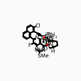 CSc1nc2c3c(nc(-c4cccc5ccc(Cl)c(C#C[Si](C(C)C)(C(C)C)C(C)C)c45)c(F)c3n1)O[C@@H](C)[C@@H]1[C@@H]3CC[C@H](CN21)N3C(=O)OC(C)(C)C